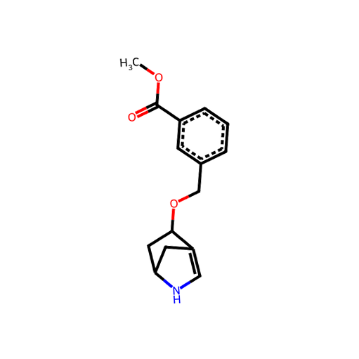 COC(=O)c1cccc(COC2CC3CC2=CN3)c1